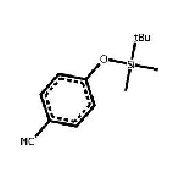 CC(C)(C)[Si](C)(C)Oc1ccc(C#N)cc1